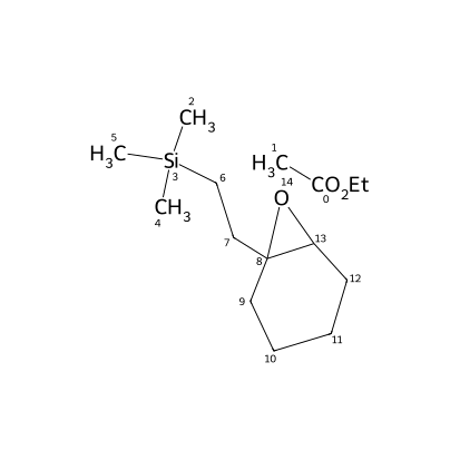 CCOC(C)=O.C[Si](C)(C)CCC12CCCCC1O2